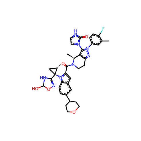 Cc1cc(-n2nc3c(c2-n2cc[nH]c2=O)[C@H](C)N(C(=O)c2cc4cc(C5CCOCC5)ccc4n2[C@@]2(C4=NOC(O)N4)C[C@@H]2C)CC3)ccc1F